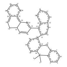 CC1(C)c2ccccc2Oc2c(-c3ccc4ccccc4c3C3=NC4=c5ncccc5=CCC4C=C3)cccc21